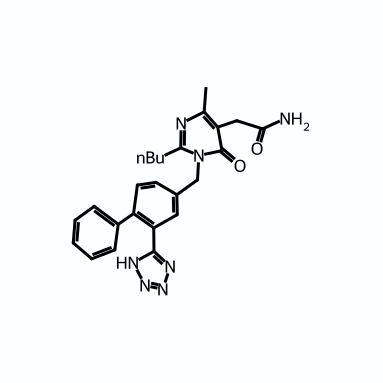 CCCCc1nc(C)c(CC(N)=O)c(=O)n1Cc1ccc(-c2ccccc2)c(-c2nnn[nH]2)c1